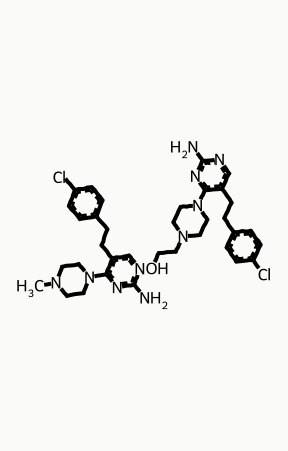 CN1CCN(c2nc(N)ncc2CCc2ccc(Cl)cc2)CC1.Nc1ncc(CCc2ccc(Cl)cc2)c(N2CCN(CCO)CC2)n1